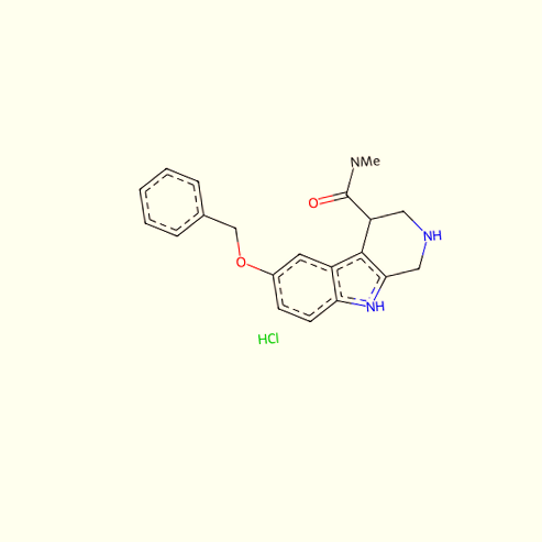 CNC(=O)C1CNCc2[nH]c3ccc(OCc4ccccc4)cc3c21.Cl